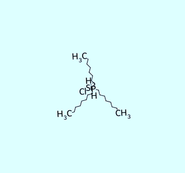 CCCCCCCC[PH](CCCCCCCC)(CCCCCCCC)[SiH2]Cl